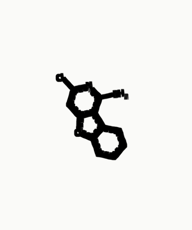 Bc1nc(Cl)cc2oc3ccccc3c12